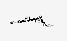 CCCCCCCCOCCCP(O)CCCCCCP(=O)(O)CCCOCCCCCCCC